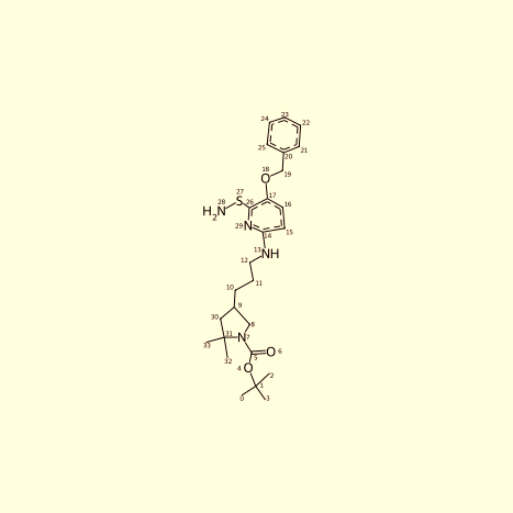 CC(C)(C)OC(=O)N1CC(CCCNc2ccc(OCc3ccccc3)c(SN)n2)CC1(C)C